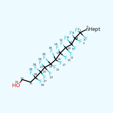 CCCCCCCC(F)(F)C(F)(F)C(F)(F)C(F)(F)C(F)(F)C(F)(F)C(F)(F)C(F)(F)C(F)(F)C(F)(F)CCO